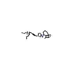 CCCN(CC#CCO/N=C1\CCCc2occ(C)c21)CCC